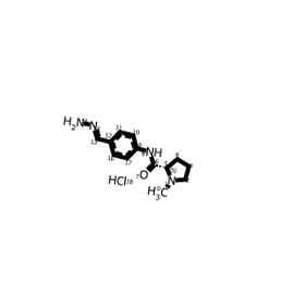 CN1CCC[C@H]1C(=O)Nc1ccc(C=NN)cc1.Cl